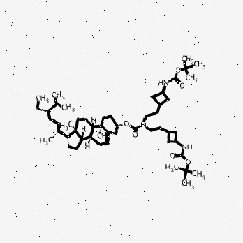 CC[C@H](CC[C@@H](C)[C@H]1CC[C@H]2[C@@H]3CC=C4C[C@@H](OC(=O)N(CCC5CC(NC(=O)OC(C)(C)C)C5)CCC5CC(NC(=O)OC(C)(C)C)C5)CC[C@]4(C)[C@H]3CC[C@]12C)C(C)C